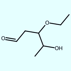 CCOC(CC=O)C(C)O